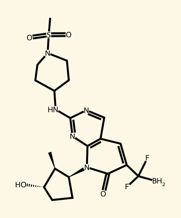 BC(F)(F)c1cc2cnc(NC3CCN(S(C)(=O)=O)CC3)nc2n([C@H]2CC[C@H](O)[C@H]2C)c1=O